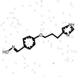 ON=Cc1ccc(OCCCc2c[nH]cn2)cc1